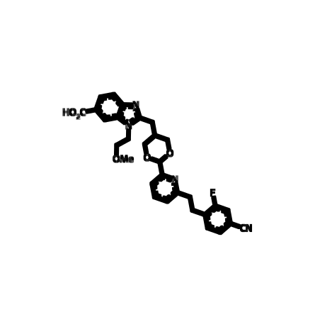 COCCn1c(CC2COC(c3cccc(CCc4ccc(C#N)cc4F)n3)OC2)nc2ccc(C(=O)O)cc21